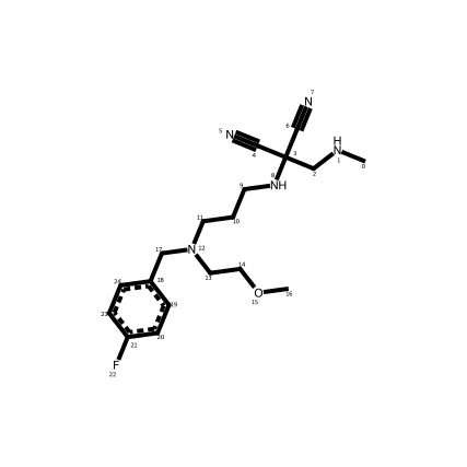 CNCC(C#N)(C#N)NCCCN(CCOC)Cc1ccc(F)cc1